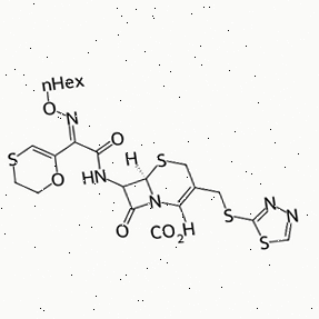 CCCCCCO/N=C(/C(=O)NC1C(=O)N2C(C(=O)O)=C(CSc3nncs3)CS[C@H]12)C1=CSCCO1